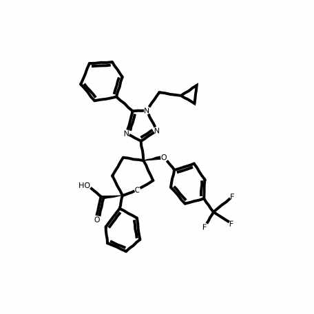 O=C(O)[C@]1(c2ccccc2)CC[C@@](Oc2ccc(C(F)(F)F)cc2)(c2nc(-c3ccccc3)n(CC3CC3)n2)CC1